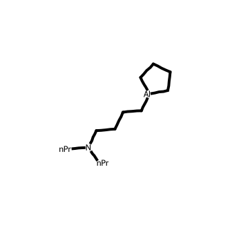 CCCN(CCC)CCC[CH2][Al]1[CH2]CC[CH2]1